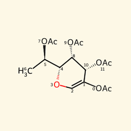 CC(=O)OC1=CO[C@H]([C@@H](C)OC(C)=O)[C@H](OC(C)=O)[C@@H]1OC(C)=O